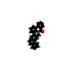 O=c1c2ccccc2c2ccccc2n1Cc1ccc2ccc3ccccc3c2c1